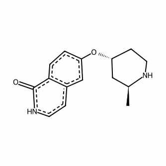 C[C@H]1C[C@H](Oc2ccc3c(=O)[nH]ccc3c2)CCN1